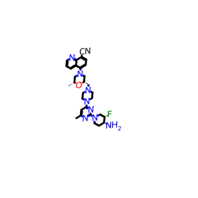 Cc1cc(N2CCN(C[C@H]3CN(c4ccc(C#N)c5ncccc45)C[C@@H](C)O3)CC2)nc(N2CC[C@@H](N)[C@@H](F)C2)n1